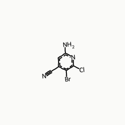 N#Cc1cc(N)nc(Cl)c1Br